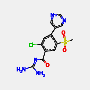 CS(=O)(=O)c1cc(C(=O)N=C(N)N)c(Cl)cc1-c1cncnc1